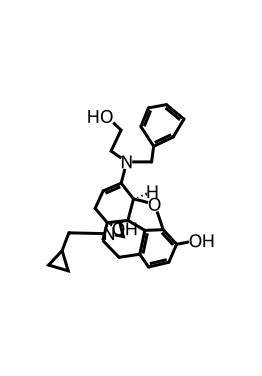 OCCN(Cc1ccccc1)C1=CC[C@]2(O)C3Cc4ccc(O)c5c4[C@]2(CCN3CC2CC2)[C@@H]1O5